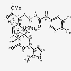 COC(=O)[C@@H]1C[C@H](OC(=O)Nc2ccc(F)c(F)c2)C(=O)[C@H]2[C@@]1(C)CC[C@H]1C(=O)O[C@H](C3C=COC3C)C[C@]21C